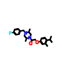 Cc1cc(OCC(=O)N2CC(C)N(Cc3ccc(F)cc3)CC2C)ccc1C(C)C